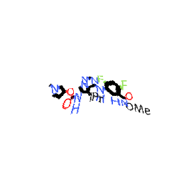 CONC(=O)c1cc(Nc2ncnn3cc(NC(=O)OC4CCN(C)C4)c(C(C)C)c23)c(F)cc1F